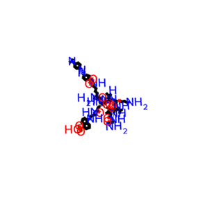 CCC(C)[C@H](NC(=O)[C@@H](NC(=O)[C@H](CCCCN)NC(=O)[C@@H](NC(=O)[C@H](CCC(=O)NCCNc1cccc2c(S(=O)(=O)O)cccc12)NC(=O)[C@@H](N)CCCCNS(=O)(=O)c1ccc(/N=N/c2ccc(N(C)C)cc2)cc1)C(C)C)C(C)C)C(=O)NCC(N)=O